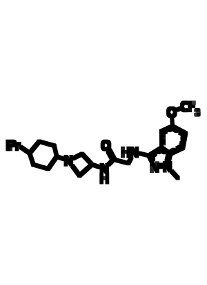 CC(C)C1CCC(N2CC(NC(=O)CNc3nn(C)c4ccc(OC(F)(F)F)cc34)C2)CC1